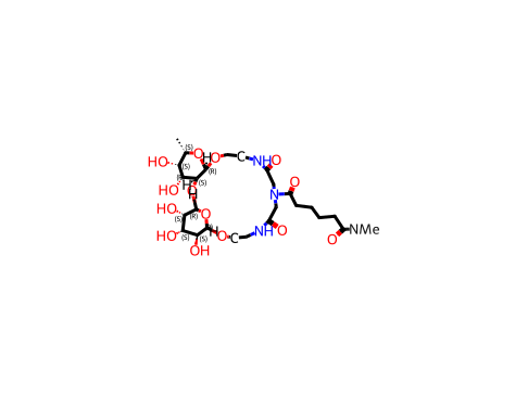 CNC(=O)CCCCC(=O)N1CC(=O)NCCO[C@@H]2O[C@@H](O[C@@H]3[C@H](OCCNC(=O)C1)O[C@@H](C)[C@@H](O)[C@H]3O)[C@@H](O)[C@@H](O)[C@@H]2O